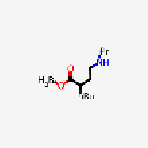 BOC(=O)C(CCCC)CCNC(C)C